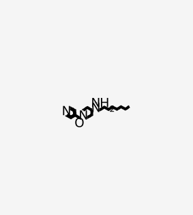 CCCCCCCCN(N)C1CCN(C(=O)c2ccncc2)CC1